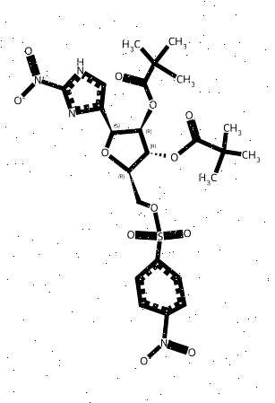 CC(C)(C)C(=O)O[C@H]1[C@H](OC(=O)C(C)(C)C)[C@H](c2c[nH]c([N+](=O)[O-])n2)O[C@@H]1COS(=O)(=O)c1ccc([N+](=O)[O-])cc1